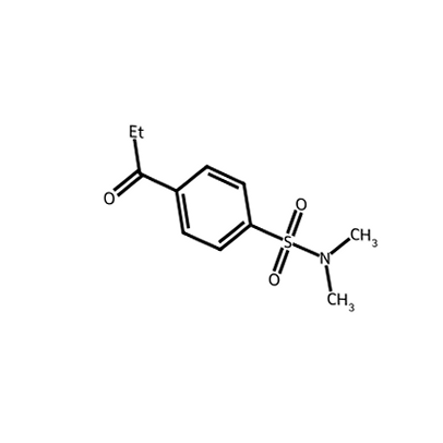 CCC(=O)c1ccc(S(=O)(=O)N(C)C)cc1